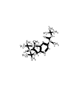 CN(C(=O)OC(C)(C)C)c1cnc2cc([Si](F)(C(C)(C)C)C(C)(C)C)n(C)c2c1